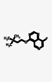 C[Si](C)(C)CCOc1ncnc2c(F)cncc12